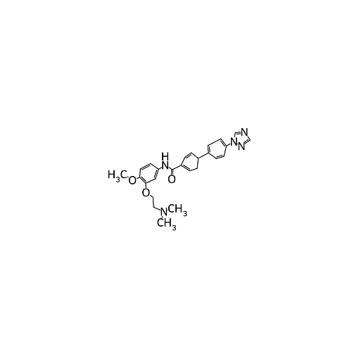 COc1ccc(NC(=O)C2=CCC(c3ccc(-n4cncn4)cc3)C=C2)cc1OCCN(C)C